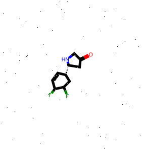 O=C1CN[C@@H](C2C=CC(F)C(F)C2)C1